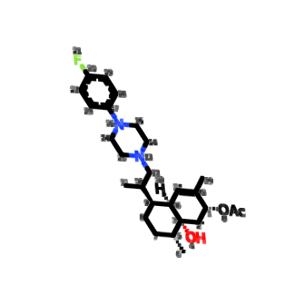 CC(=O)O[C@@H]1[CH][C@@]2(O)[C@H](C)CC[C@@H](C(C)CN3CCN(c4ccc(F)cc4)CC3)[C@H]2C=C1C